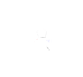 C=CN[C@H]1COC[C@@H]1O